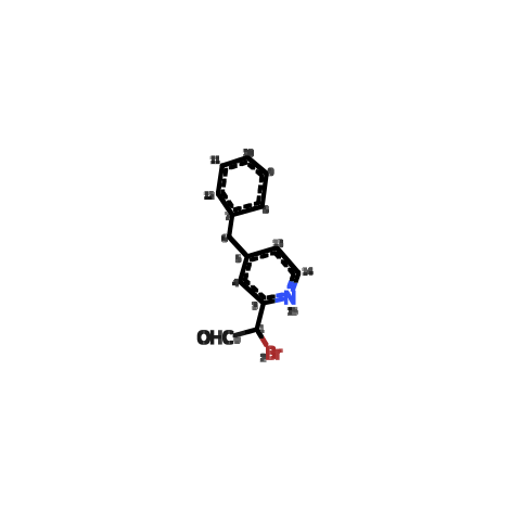 O=CC(Br)c1cc(Cc2ccccc2)ccn1